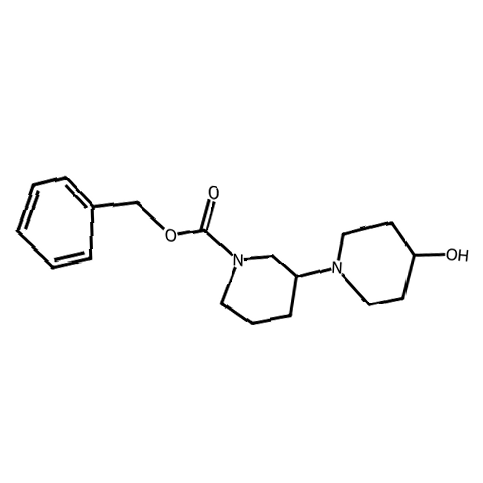 O=C(OCc1ccccc1)N1CCCC(N2CCC(O)CC2)C1